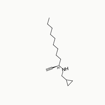 C#C[C@@H](CCCCCCCCC)NCC1CC1